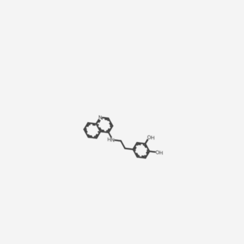 Oc1ccc(CCNc2ccnc3ccccc23)cc1O